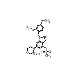 COc1ccc(CN2NCc3c(CS(C)(=O)=O)cc(N4CCOC[C@H]4C)nc32)c(OC)c1